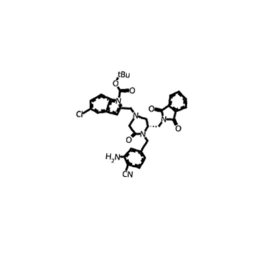 CC(C)(C)OC(=O)n1c(CN2CC(=O)N(Cc3ccc(C#N)c(N)c3)[C@@H](CN3C(=O)c4ccccc4C3=O)C2)cc2cc(Cl)ccc21